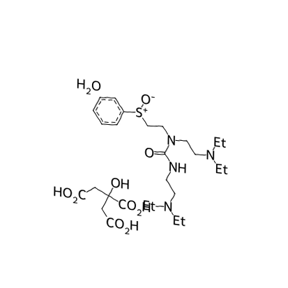 CCN(CC)CCNC(=O)N(CCN(CC)CC)CC[S+]([O-])c1ccccc1.O.O=C(O)CC(O)(CC(=O)O)C(=O)O